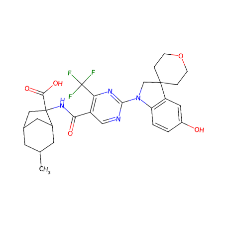 CC1CC2CC(C1)C(NC(=O)c1cnc(N3CC4(CCOCC4)c4cc(O)ccc43)nc1C(F)(F)F)(C(=O)O)C2